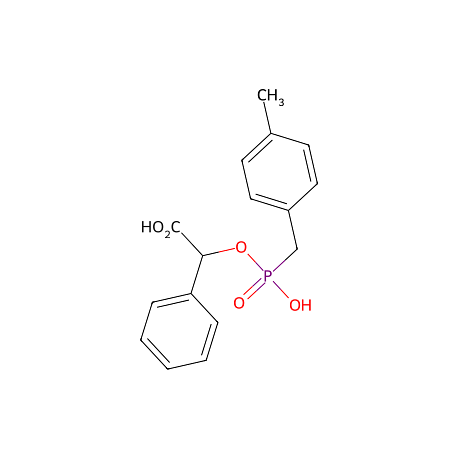 Cc1ccc(CP(=O)(O)OC(C(=O)O)c2ccccc2)cc1